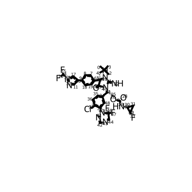 CC(C)(C)C[C@]1(c2ccc(-c3cnn(C(F)F)c3)cc2)NC(=N)N([C@H](COC(=O)N[C@H]2C[C@H]2F)c2ccc(Cl)c(N3N=CN=CC3(F)F)c2)C1=O